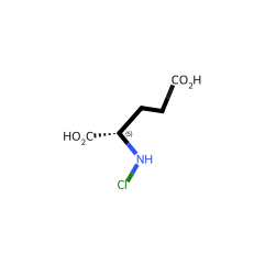 O=C(O)CC[C@H](NCl)C(=O)O